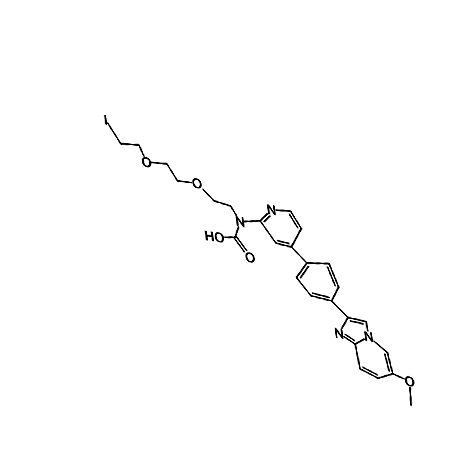 COc1ccc2nc(-c3ccc(-c4ccnc(N(CCOCCOCCI)C(=O)O)c4)cc3)cn2c1